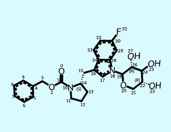 O=C(OCc1ccccc1)N1CCC[C@H]1Cc1cn(C2OC[C@@H](O)C(O)[C@H]2O)c2cc(F)ccc12